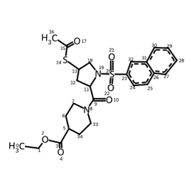 CCOC(=O)C1CCN(C(=O)C2CC(SC(C)=O)CN2S(=O)(=O)c2ccc3ccccc3c2)CC1